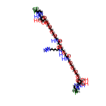 [N-]=[N+]=NCCCCCC(=O)NC(COCCC(=O)NCCOCCOCCOCCOC[C@H]1OC[C@H](Nc2nccc(C(F)(F)F)n2)[C@@H](O)[C@H]1O)COCCC(=O)NCCOCCOCCOCCOC[C@H]1OC[C@H](Nc2nccc(C(F)(F)F)n2)[C@@H](O)[C@H]1O